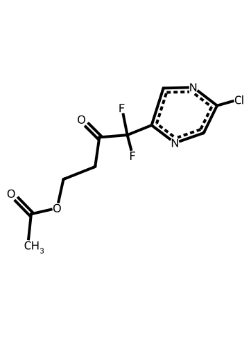 CC(=O)OCCC(=O)C(F)(F)c1cnc(Cl)cn1